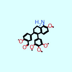 COc1ccc(C2=C(c3cc(OC)c(OC)c(OC)c3)c3ccc(OC)c(N)c3CC2)cc1C=O